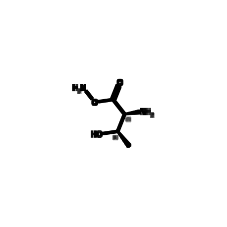 C[C@@H](O)[C@H](N)C(=O)ON